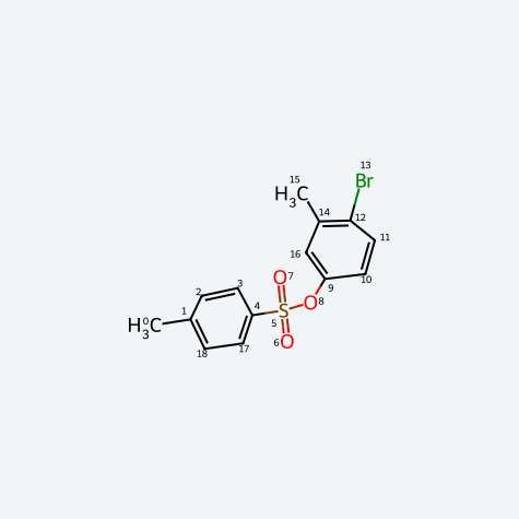 Cc1ccc(S(=O)(=O)Oc2ccc(Br)c(C)c2)cc1